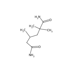 CC(CC(N)=O)CC(C)(C)C(N)=O